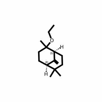 C=C1[C@@H]2CCC(C)(OCC)[C@H]1CCC2(C)C